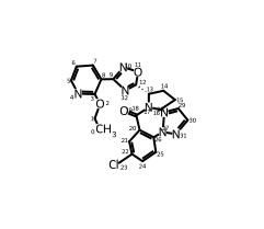 CCOc1ncccc1-c1noc([C@@H]2CCCN2C(=O)c2cc(Cl)ccc2-n2nccn2)n1